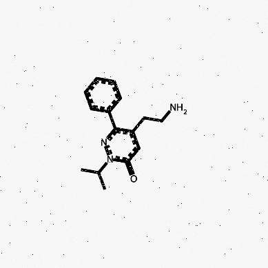 CC(C)n1nc(-c2ccccc2)c(CCN)cc1=O